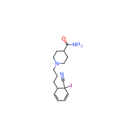 N#CC1(I)C=CC=CC1CCCN1CCC(C(N)=O)CC1